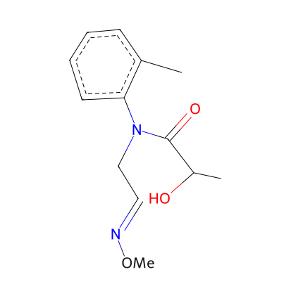 CON=CCN(C(=O)C(C)O)c1ccccc1C